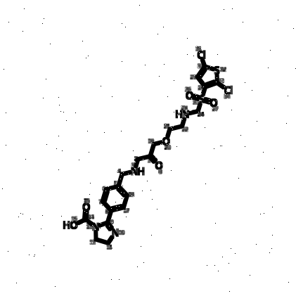 O=C(CNCc1ccc(C2=NCCN2C(=O)O)cc1)COCCNCS(=O)(=O)c1cc(Cl)sc1Cl